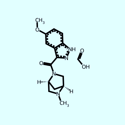 COc1ccc2[nH]nc(C(=O)N3C[C@@H]4C[C@H]3CN4C)c2c1.O=CO